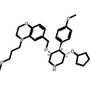 COCCCN1CCOc2ccc(CO[C@H]3CNC[C@@H](OC4CCCC4)[C@@H]3c3ccc(OC)cc3)cc21